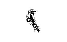 O=S(=O)(c1ccc(C(F)(F)CF)cc1)n1nc(N2CC(F)(F)C(F)(F)C2)c2c(Cl)cccc21